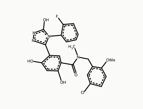 COc1ccc(Cl)cc1CN(C)C(=O)c1cc(-c2nnc(O)n2-c2ccccc2F)c(O)cc1O